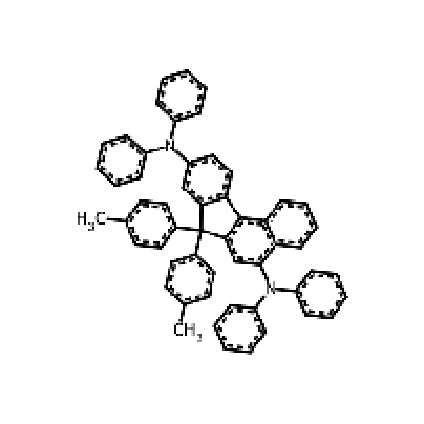 Cc1ccc(C2(c3ccc(C)cc3)c3cc(N(c4ccccc4)c4ccccc4)ccc3-c3c2cc(N(c2ccccc2)c2ccccc2)c2ccccc32)cc1